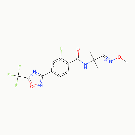 CO/N=C/C(C)(C)NC(=O)c1ccc(-c2noc(C(F)(F)F)n2)cc1F